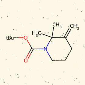 C=C1CCCN(C(=O)OC(C)(C)C)C1(C)C